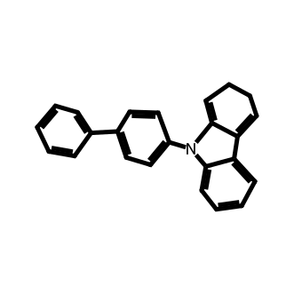 C1=c2c(n(-c3ccc(-c4ccccc4)cc3)c3ccccc23)=CCC1